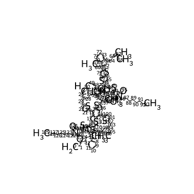 C=CCCCC(C)(c1ccccc1)c1sc(-c2cc3c(-c4ccc(CC(CC)CCCC)s4)c4sc(C(CC)(CCCC)C(C)(CCC/C=C\C)c5sc(-c6cc7sc(C(CC)(CCCCC(C)C)c8ccccc8)cc7s6)c6sc7c(c56)C(=O)N(CCCCCCCC)C7=O)cc4c(-c4ccc(CC(CC)CCCC)s4)c3s2)c2sc3c(c12)C(=O)N(CCCCCCCC)C3=O